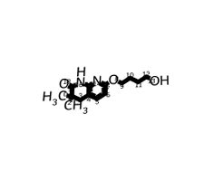 CC1(C)Cc2ccc(OCCCCO)nc2NC1=O